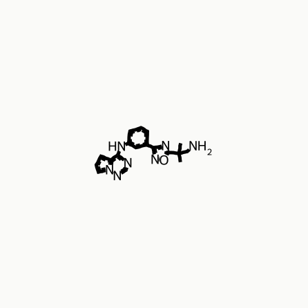 CC(C)(CN)c1nc(-c2cccc(Nc3ncnn4cccc34)c2)no1